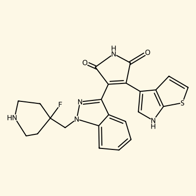 O=C1NC(=O)C(c2nn(CC3(F)CCNCC3)c3ccccc23)=C1c1c[nH]c2sccc12